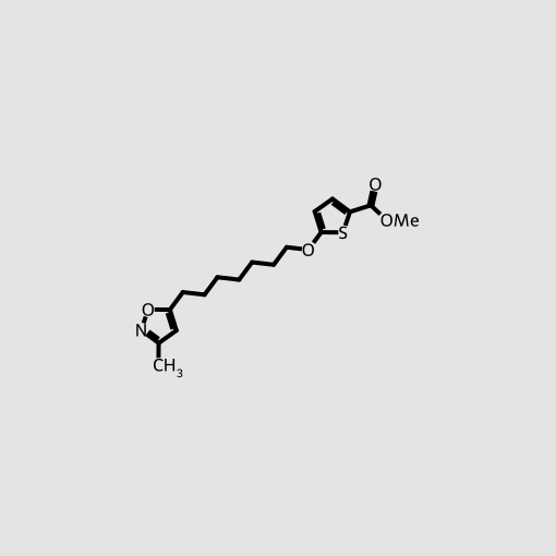 COC(=O)c1ccc(OCCCCCCCc2cc(C)no2)s1